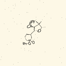 CC(C)O[C@@H]1[C@@H]([C@@H]2CCC[P@](=O)(OC(C)C)C2)O[C@@H](C)C1(C)C